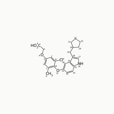 Cc1cc(OCC(=O)O)cc(Cl)c1Oc1ccc2[nH]cc(CC3CCCC3)c2c1